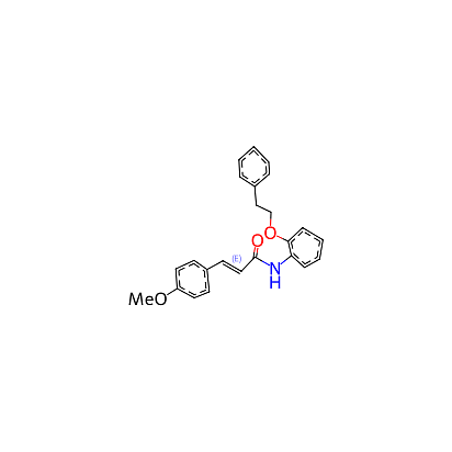 COc1ccc(/C=C/C(=O)Nc2ccccc2OCCc2ccccc2)cc1